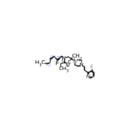 C\C=C/C=C\C(F)=C\N(CC(C)(C)N1CCN(CCc2ncccc2F)CC1)C(=O)CC